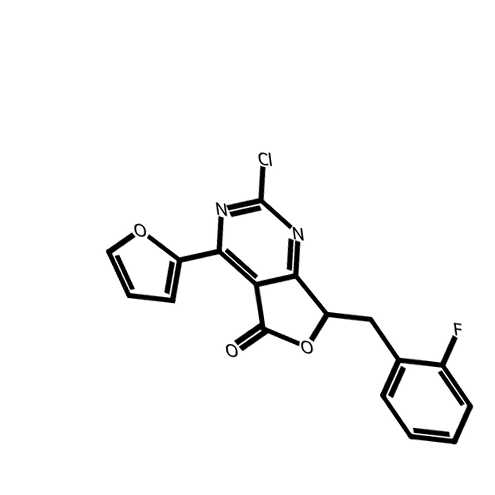 O=C1OC(Cc2ccccc2F)c2nc(Cl)nc(-c3ccco3)c21